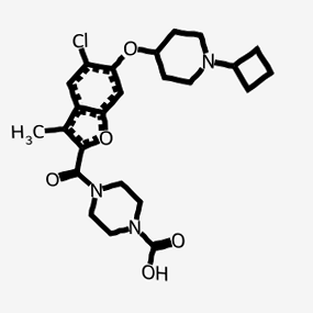 Cc1c(C(=O)N2CCN(C(=O)O)CC2)oc2cc(OC3CCN(C4CCC4)CC3)c(Cl)cc12